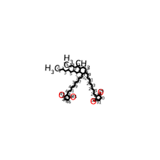 CCCCCCCCC1C(C(C)CCCC)CCC(CCCCCCCCC2C(=O)C=CC2=O)C1CCCCCCCCC1C(=O)C=CC1=O